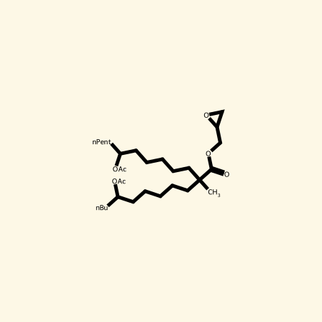 CCCCCC(CCCCCC(C)(CCCCCC(CCCC)OC(C)=O)C(=O)OCC1CO1)OC(C)=O